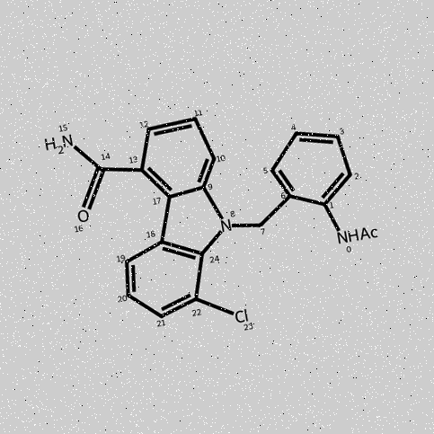 CC(=O)Nc1ccccc1Cn1c2cccc(C(N)=O)c2c2[c]ccc(Cl)c21